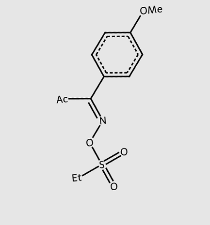 CCS(=O)(=O)ON=C(C(C)=O)c1ccc(OC)cc1